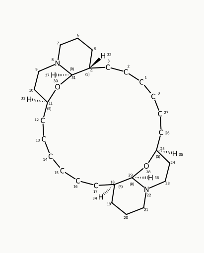 C1CCC[C@H]2CCCN3CC[C@H](CCCCCC[C@@H]4CCCN5CC[C@H](CC1)O[C@H]45)O[C@H]23